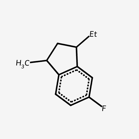 CCC1CC(C)c2ccc(F)cc21